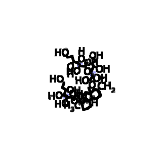 C=C1CC[C@@H]2C(COC(O)/C(O)=C(\OC(O)/C(O)=C(\O)C(O)CCO)C(O)CCO)(CCC3[C@](C)(C(=O)OC(O)/C(O)=C(/O)C(O)CCO)CCC[C@]32C)C1